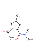 CCCCCN(C)C(=O)C1CC(C)CC1C(=O)OC